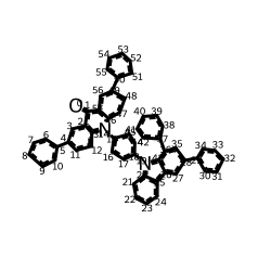 O=c1c2cc(-c3ccccc3)ccc2n(-c2ccc(-n3c4ccccc4c4cc(-c5ccccc5)cc(-c5ccccc5)c43)cc2)c2ccc(-c3ccccc3)cc12